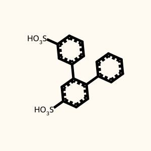 O=S(=O)(O)c1cccc(-c2cc(S(=O)(=O)O)ccc2-c2ccccc2)c1